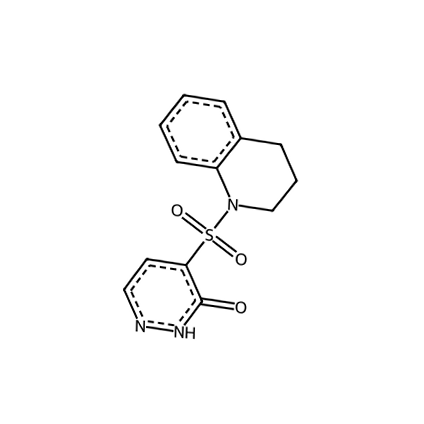 O=c1[nH]nccc1S(=O)(=O)N1CCCc2ccccc21